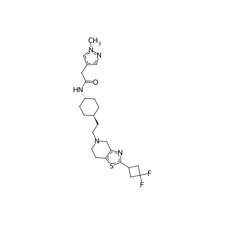 Cn1cc(CC(=O)N[C@H]2CC[C@H](CCN3CCc4sc(C5CC(F)(F)C5)nc4C3)CC2)cn1